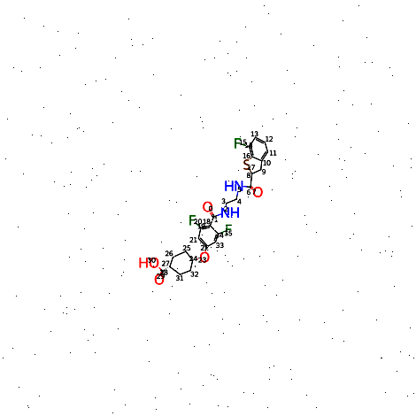 O=C(NCCNC(=O)C1Cc2cccc(F)c2S1)c1c(F)cc(O[C@H]2CC[C@@H](C(=O)O)CC2)cc1F